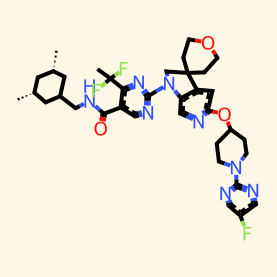 C[C@@H]1CC(CNC(=O)c2cnc(N3CC4(CCOCC4)c4cc(OC5CCN(c6ncc(F)cn6)CC5)ncc43)nc2C(C)(F)F)C[C@H](C)C1